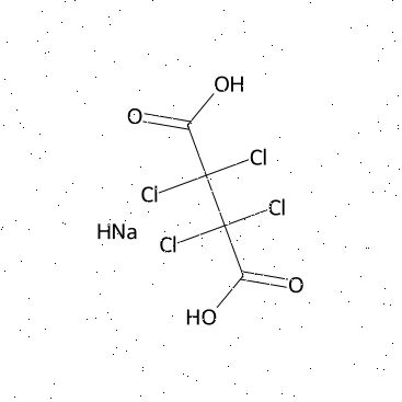 O=C(O)C(Cl)(Cl)C(Cl)(Cl)C(=O)O.[NaH]